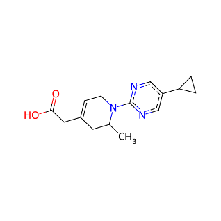 CC1CC(CC(=O)O)=CCN1c1ncc(C2CC2)cn1